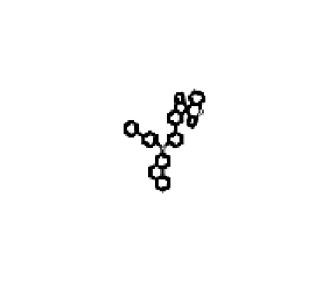 c1ccc(-c2ccc(N(c3cccc(-c4ccc5c(c4)C4(c6ccccc6Oc6ccccc64)c4ccccc4-5)c3)c3ccc4c(ccc5ccccc54)c3)cc2)cc1